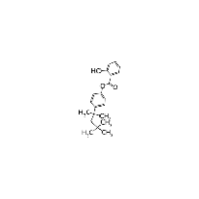 CC(C)(C)CC(C)(C)c1ccc(OC(=O)c2ccccc2O)cc1